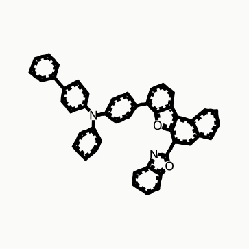 c1ccc(-c2ccc(N(c3ccccc3)c3ccc(-c4cccc5c4oc4c(-c6nc7ccccc7o6)cc6ccccc6c45)cc3)cc2)cc1